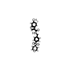 CC1CCc2c(C(=O)NCc3ccc(S(=O)(=O)N4CCOCC4)cc3)csc2C1